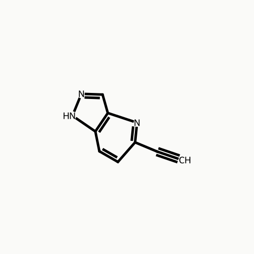 C#Cc1ccc2[nH]ncc2n1